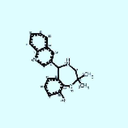 CC1(C)CNC(c2cnc3ccccc3c2)c2cccc(F)c2O1